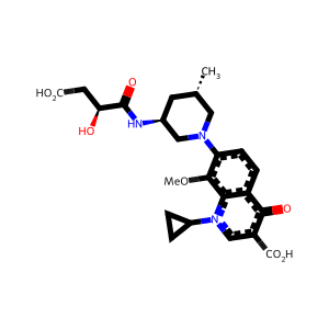 COc1c(N2C[C@@H](C)C[C@H](NC(=O)[C@@H](O)CC(=O)O)C2)ccc2c(=O)c(C(=O)O)cn(C3CC3)c12